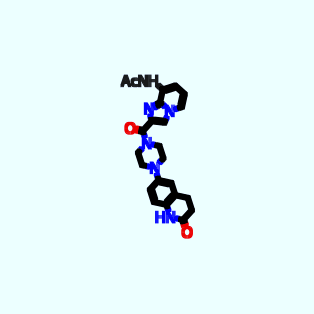 CC(=O)Nc1cccn2cc(C(=O)N3CCN(c4ccc5c(c4)CCC(=O)N5)CC3)nc12